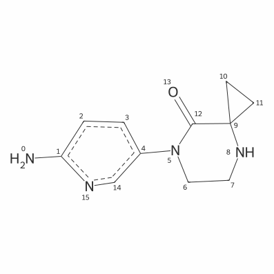 Nc1ccc(N2CCNC3(CC3)C2=O)cn1